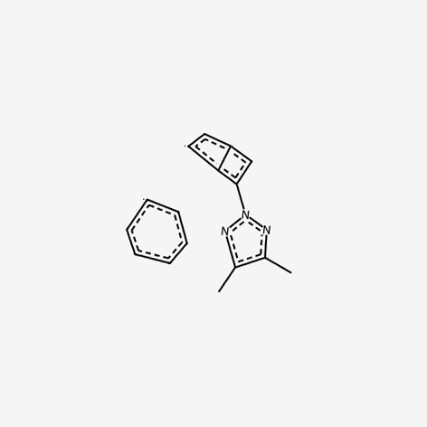 Cc1nn(-c2cc3c[c]c2-3)nc1C.[c]1ccccc1